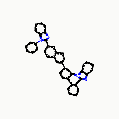 c1ccc(-n2c(-c3ccc4cc(-c5ccc6c7ccccc7c7nc8ccccc8n7c6c5)ccc4c3)nc3ccccc32)cc1